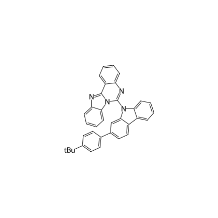 CC(C)(C)c1ccc(-c2ccc3c4ccccc4n(-c4nc5ccccc5c5nc6ccccc6n45)c3c2)cc1